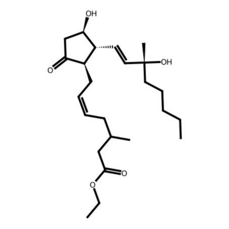 CCCCC[C@@](C)(O)/C=C/[C@H]1[C@H](O)CC(=O)[C@@H]1C/C=C\CC(C)CC(=O)OCC